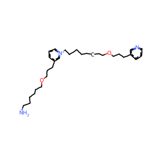 NCCCCCCOCCCc1ccc[n+](CCCCCCCCOCCCc2cccnc2)c1